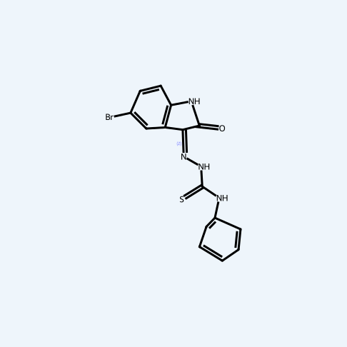 O=C1Nc2ccc(Br)cc2/C1=N/NC(=S)Nc1ccccc1